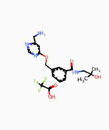 CC(C)(O)CNC(=O)c1cccc(COc2cc(CN)ncn2)c1.O=C(O)C(F)(F)F